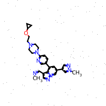 C/N=C\c1cnn2cc(-c3cnn(C)c3)cc(-c3ccc(N4CCN(CCOC5CC5)CC4)nc3)c12